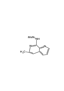 CNNc1nc(C)cc2cccnc12